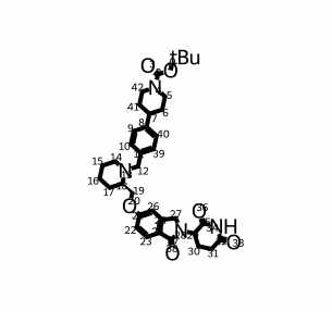 CC(C)(C)OC(=O)N1CCC(c2ccc(CN3CCCC[C@@H]3COc3ccc4c(c3)CN(C3CCC(=O)NC3=O)C4=O)cc2)CC1